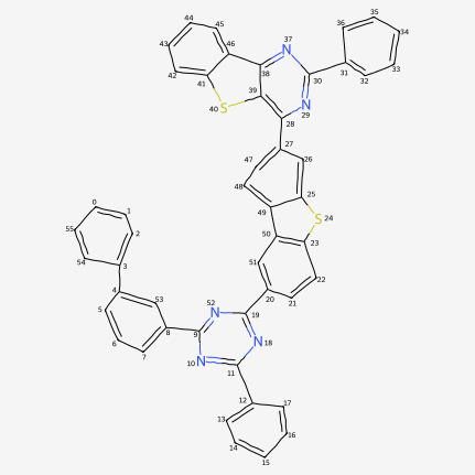 c1ccc(-c2cccc(-c3nc(-c4ccccc4)nc(-c4ccc5sc6cc(-c7nc(-c8ccccc8)nc8c7sc7ccccc78)ccc6c5c4)n3)c2)cc1